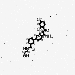 Nc1c(C(=O)c2ccc(Cl)cc2Cl)oc2cc(-c3cccc(C(=O)NCCO)c3)ccc12